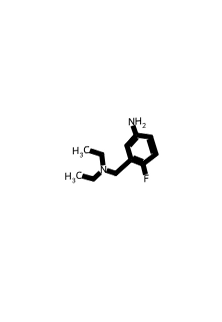 CCN(CC)Cc1cc(N)ccc1F